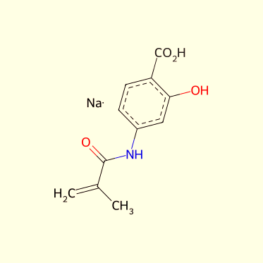 C=C(C)C(=O)Nc1ccc(C(=O)O)c(O)c1.[Na]